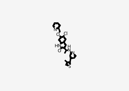 Cc1cscc1-c1ccnc(NC(C)c2cc3cc(Cl)c(OCc4ccccn4)cc3[nH]c2=O)c1